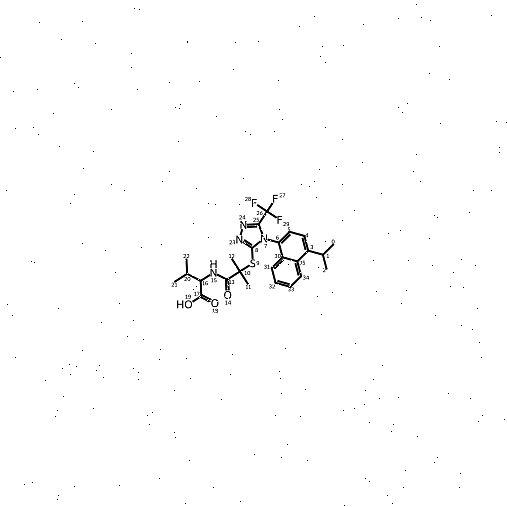 CC(C)c1ccc(-n2c(SC(C)(C)C(=O)NC(C(=O)O)C(C)C)nnc2C(F)(F)F)c2ccccc12